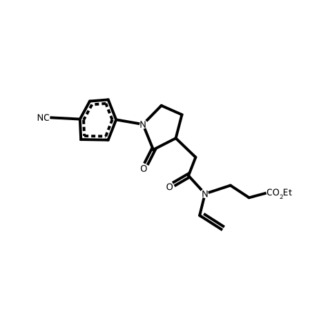 C=CN(CCC(=O)OCC)C(=O)CC1CCN(c2ccc(C#N)cc2)C1=O